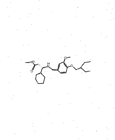 CCC(CC)COc1ccc(CN[C@@H](CC(=O)NC)C2CCCCC2)cc1OC